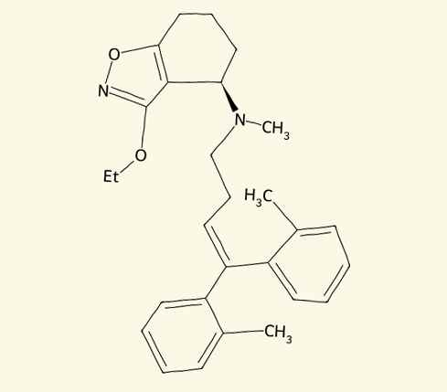 CCOc1noc2c1[C@H](N(C)CCC=C(c1ccccc1C)c1ccccc1C)CCC2